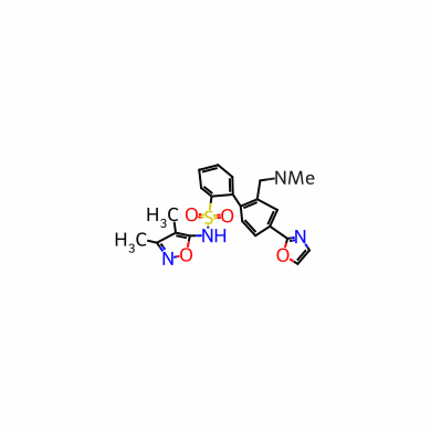 CNCc1cc(-c2ncco2)ccc1-c1ccccc1S(=O)(=O)Nc1onc(C)c1C